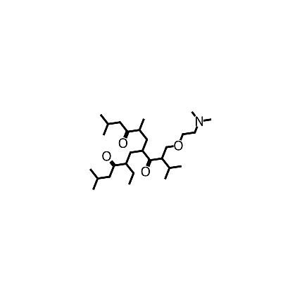 CCC(CC(CC(C)C(=O)CC(C)C)C(=O)C(COCCN(C)C)C(C)C)C(=O)CC(C)C